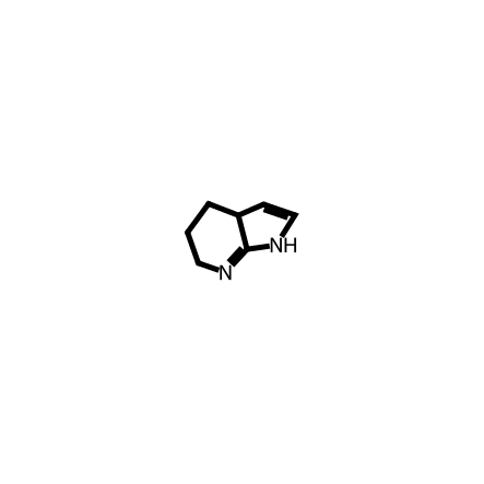 C1=CC2CCCN=C2N1